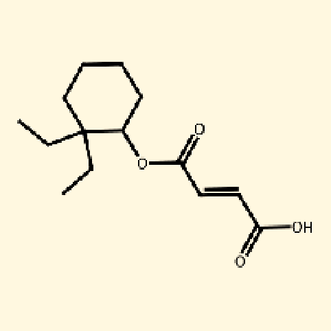 CCC1(CC)CCCCC1OC(=O)C=CC(=O)O